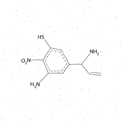 C=CC(N)c1cc(N)c([N+](=O)[O-])c(S)c1